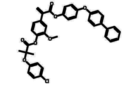 C=C(C(=O)Oc1ccc(Oc2ccc(-c3ccccc3)cc2)cc1)c1ccc(OC(=O)C(C)(C)Oc2ccc(Cl)cc2)c(OC)c1